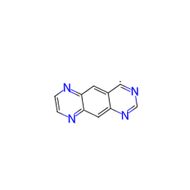 [c]1ncnc2cc3nccnc3cc12